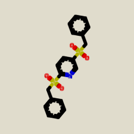 O=S(=O)(Cc1ccccc1)c1ccc(S(=O)(=O)Cc2ccccc2)nc1